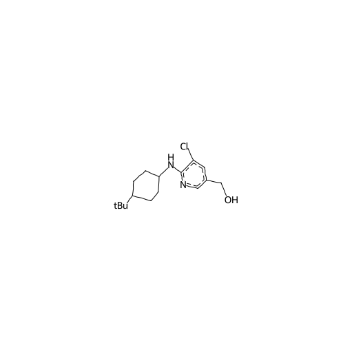 CC(C)(C)C1CCC(Nc2ncc(CO)cc2Cl)CC1